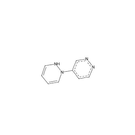 C1=CNN(c2ccnnc2)C=C1